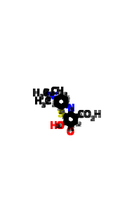 C[N+](C)(C)c1ccc2nc3c(C(=O)O)cc(=O)c(O)c-3sc2c1